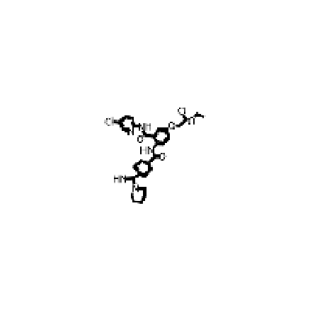 CCOC(=O)COc1ccc(NC(=O)c2ccc(C(=N)N3CCCCC3)cc2)c(C(=O)Nc2ccc(Cl)cn2)c1